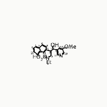 CCN(CC(c1ccc2ccccc2c1)C(O)c1cncc(OC)c1)C(=O)O